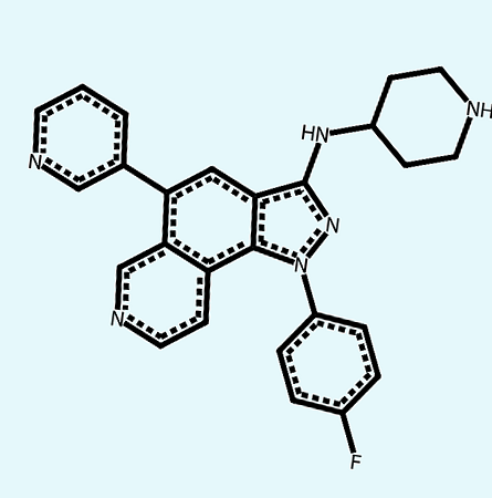 Fc1ccc(-n2nc(NC3CCNCC3)c3cc(-c4cccnc4)c4cnccc4c32)cc1